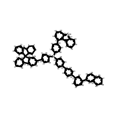 CC1CC=CC=C1C1(c2ccccc2)c2ccccc2-c2ccc(-c3ccc(N(c4ccc(-c5ccc(-c6cccc(-c7ccc8ccccc8c7)c6)cc5)cc4)c4ccc(-c5cccc6sc7ccccc7c56)cc4)cc3)cc21